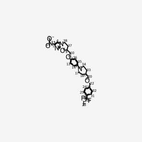 O=[N+]([O-])c1cn2c(n1)OC(COc1ccc(N3CCC(COCc4ccc(C(F)(F)F)cc4)CC3)cc1)CC2